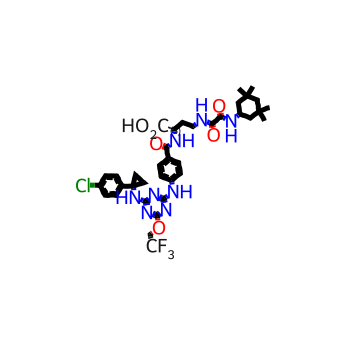 CC1(C)CC(NC(=O)C(=O)NCC[C@H](NC(=O)c2ccc(Nc3nc(NC4(c5ccc(Cl)cc5)CC4)nc(OCC(F)(F)F)n3)cc2)C(=O)O)CC(C)(C)C1